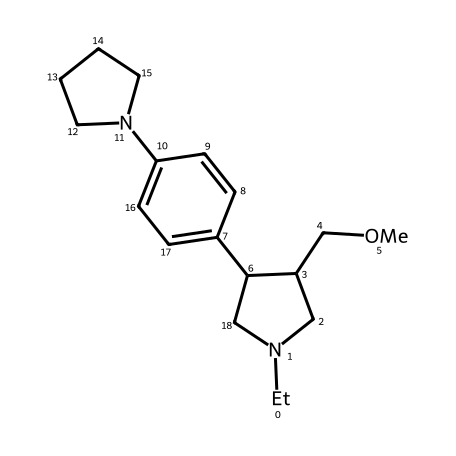 CCN1CC(COC)C(c2ccc(N3CCCC3)cc2)C1